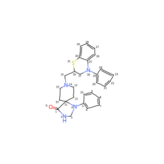 O=C1NCN(c2ccccc2)C12CCN(CC1CN(c3ccccc3)c3ccccc3S1)CC2